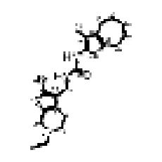 CCN1CCc2c(sc(Br)c2CNC(=O)Nc2sc3c(c2C)CCCCC3)C1